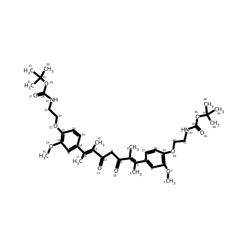 COc1cc(/C(C)=C(\C)C(=O)CC(=O)/C(C)=C(\C)c2ccc(OCCNC(=O)OC(C)(C)C)c(OC)c2)ccc1OCCNC(=O)OC(C)(C)C